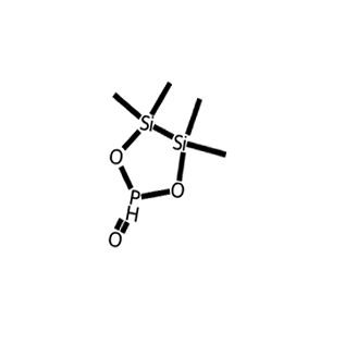 C[Si]1(C)O[PH](=O)O[Si]1(C)C